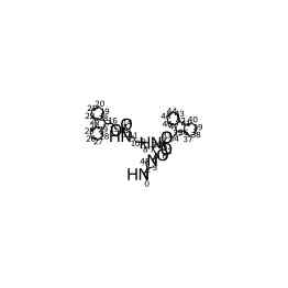 CNC1CN(C(=O)[C@H](CCCCNC(=O)OCC2c3ccccc3-c3ccccc32)NC(=O)OCC2c3ccccc3-c3ccccc32)C1